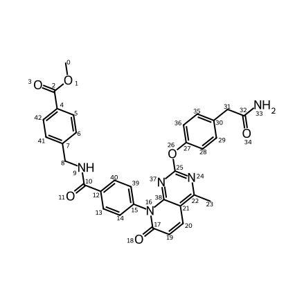 COC(=O)c1ccc(CNC(=O)c2ccc(-n3c(=O)ccc4c(C)nc(Oc5ccc(CC(N)=O)cc5)nc43)cc2)cc1